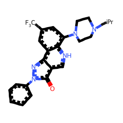 CC(C)N1CCN(c2cc(C(F)(F)F)cc3c4nn(-c5ccccc5)c(=O)c-4c[nH]c23)CC1